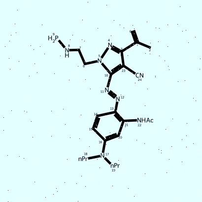 C=C(C)c1nn(CCNP)c(/N=N/c2ccc(N(CCC)CCC)cc2NC(C)=O)c1C#N